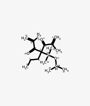 C=C(C)C(=O)C(CCC)(C(=O)C(=C)C)[Si](C)(C)O[SiH](C)C